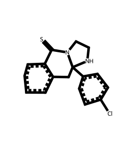 S=C1c2ccccc2CC2(c3ccc(Cl)cc3)NCCN12